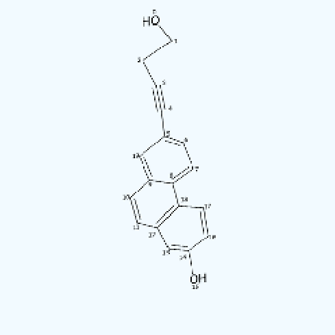 OCCC#Cc1ccc2c(ccc3cc(O)ccc32)c1